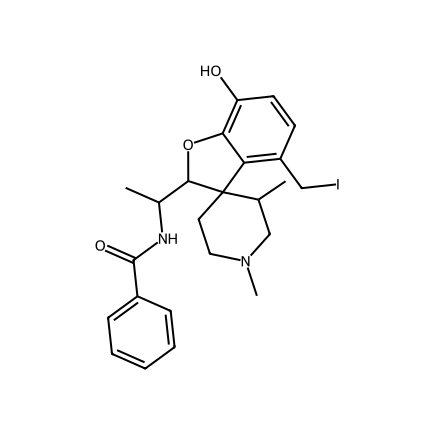 CC(NC(=O)c1ccccc1)C1Oc2c(O)ccc(CI)c2C12CCN(C)CC2C